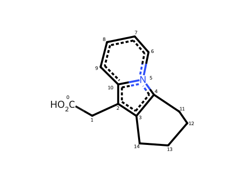 O=C(O)Cc1c2c(n3ccccc13)CCCC2